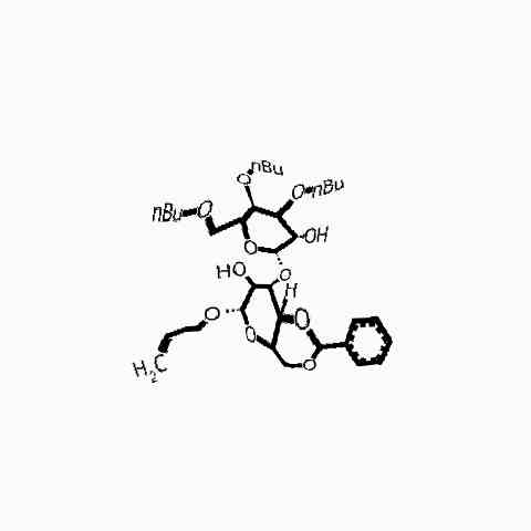 C=CCO[C@H]1OC2COC(c3ccccc3)O[C@H]2[C@H](O[C@@H]2OC(COCCCC)[C@@H](OCCCC)C(OCCCC)[C@@H]2O)C1O